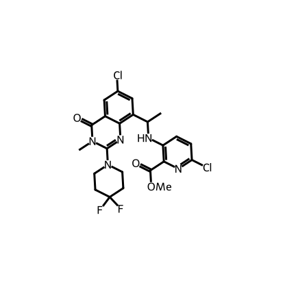 COC(=O)c1nc(Cl)ccc1NC(C)c1cc(Cl)cc2c(=O)n(C)c(N3CCC(F)(F)CC3)nc12